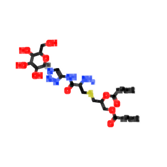 CCCCCC(=O)OCC(CSCC(N)C(=O)Nc1cn([C@H]2OC(CO)C(O)C(O)C2O)nn1)OC(=O)CCCCC